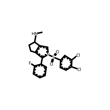 CNC1CCc2c1cn(S(=O)(=O)c1ccc(Cl)c(Cl)c1)c2-c1ccccc1F